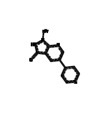 CCCn1[nH]c(=O)c2cc(-c3ccncc3)cnc21